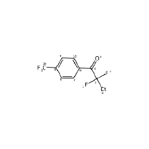 CCC(F)(F)C(=O)c1ccc(C(F)(F)F)cc1